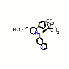 C=C(C)C#C[C@H](c1ccc2ncccc2c1)N1CC[C@@H](CC(=O)O)C[C@H]1c1ccc(C(F)(F)F)cc1